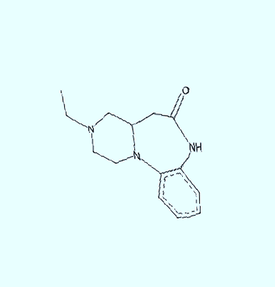 CCN1CCN2c3ccccc3NC(=O)CC2C1